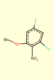 CC(C)(C)Oc1cc(F)cc(F)c1[N+](=O)[O-]